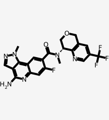 CN(C(=O)c1cc2c(cc1F)nc(N)c1cnn(C)c12)[C@@H]1COCc2cc(C(F)(F)F)cnc21